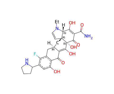 CCN1C=C[C@@]23C[C@@H]4Cc5c(F)c(C6CCCN6)cc(O)c5C(=O)C4=C(O)[C@]2(O)C(=O)C(C(N)=O)=C(O)[C@@H]13